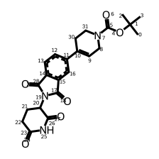 CC(C)(C)OC(=O)N1CC=C(c2ccc3c(c2)C(=O)N(C2CCC(=O)NC2=O)C3=O)CC1